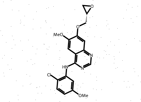 COc1ccc(Cl)c(Nc2ncnc3cc(OC[C@@H]4CO4)c(OC)cc23)c1